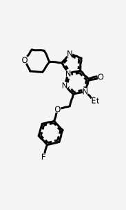 CCn1c(COc2ccc(F)cc2)nn2c(C3CCOCC3)ncc2c1=O